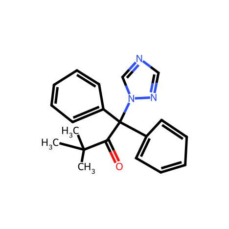 CC(C)(C)C(=O)C(c1ccccc1)(c1ccccc1)n1cncn1